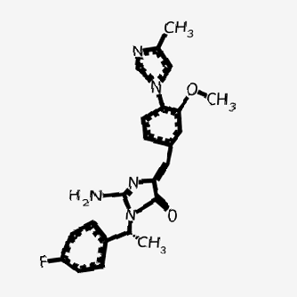 COc1cc(/C=C2\N=C(N)N([C@H](C)c3ccc(F)cc3)C2=O)ccc1-n1cnc(C)c1